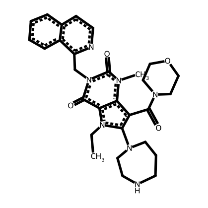 CCn1c(N2CCCNCC2)c(C(=O)N2CCOCC2)c2c1c(=O)n(Cc1nccc3ccccc13)c(=O)n2C